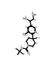 CC(C)(C)OC(=O)N1CCC(F)(c2ncc(C(O)CO)cc2Cl)CC1